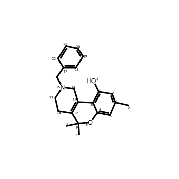 Cc1cc(O)c2c(c1)OC(C)(C)C1=C2CN(Cc2ccccc2)CC1